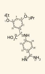 CCOc1cc(OC(C)C)cc(C(Nc2ccc(C(=N)N)cc2)C(=O)O)c1